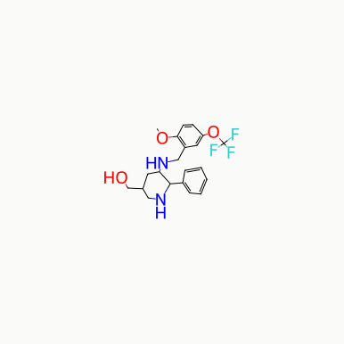 COc1ccc(OC(F)(F)F)cc1CNC1CC(CO)CNC1c1ccccc1